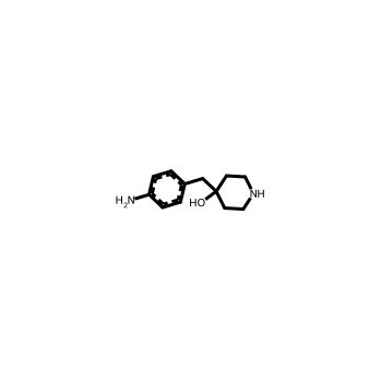 Nc1ccc(CC2(O)CCNCC2)cc1